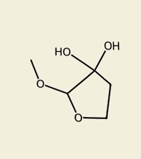 COC1OCCC1(O)O